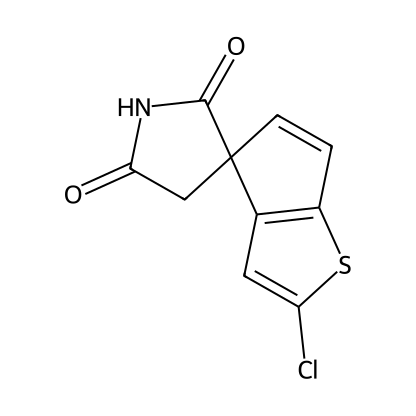 O=C1CC2(C=Cc3sc(Cl)cc32)C(=O)N1